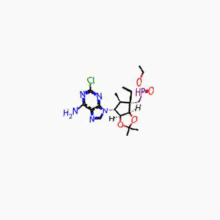 CCO[PH](=O)C[C@@]1(CC)[C@H](C)[C@@H](n2cnc3c(N)nc(Cl)nc32)[C@@H]2OC(C)(C)O[C@@H]21